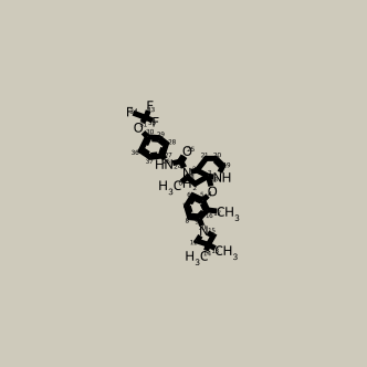 CCCC1(Oc2cccc(N3CC(C)(C)C3)c2C)NC=CCC1NC(=O)Nc1ccc(OC(F)(F)F)cc1